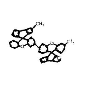 Cc1ccc2c(c1)Oc1cc(-c3ccc4c(c3)Oc3ccccc3C43c4ccccc4-c4cc(C)ccc43)ccc1C21c2ccccc2-c2ccccc21